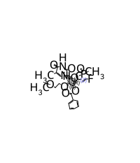 COCCO[C@@H]1[C@H](OC(=O)c2ccccc2)[C@@H](/C=C(/F)P(C)(C)=O)O[C@H]1n1cc(C)c(=O)[nH]c1=O